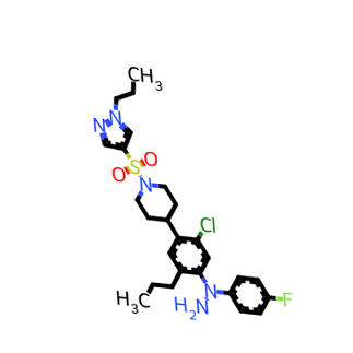 CCCc1cc(C2CCN(S(=O)(=O)c3cnn(CCC)c3)CC2)c(Cl)cc1N(N)c1ccc(F)cc1